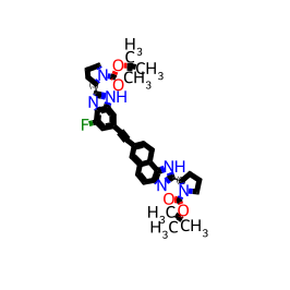 CC(C)(C)OC(=O)N1CCC[C@H]1c1nc2c([nH]1)C1CC=C(C#Cc3cc(F)c4nc([C@@H]5CCCN5C(=O)OC(C)(C)C)[nH]c4c3)C=C1C=C2